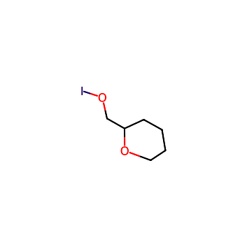 IOCC1CCCCO1